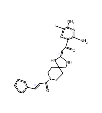 Nc1nc(N)c(C(=O)/C=C2\NCC3(CCN(C(=O)/C=C/c4ccccc4)CC3)N2)nc1I